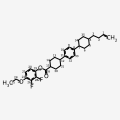 C=CCCC1CCC(c2ccc(C3CCC(C(=O)Oc4ccc(OCC)c(F)c4F)CC3)cc2)CC1